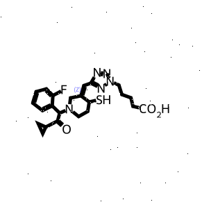 O=C(O)CCCCn1nnc(/C=C2/CN(C(C(=O)C3CC3)c3ccccc3F)CCC2S)n1